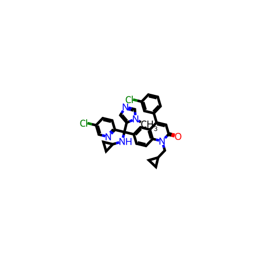 Cn1cncc1C(NC1CC1)(c1ccc2c(c1)c(-c1cccc(Cl)c1)cc(=O)n2CC1CC1)c1ccc(Cl)cn1